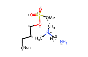 CCCCCCCCCCCCOS(=O)(=O)OC.CN(C)C.N